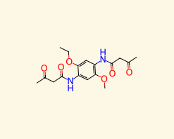 CCOc1cc(NC(=O)CC(C)=O)c(OC)cc1NC(=O)CC(C)=O